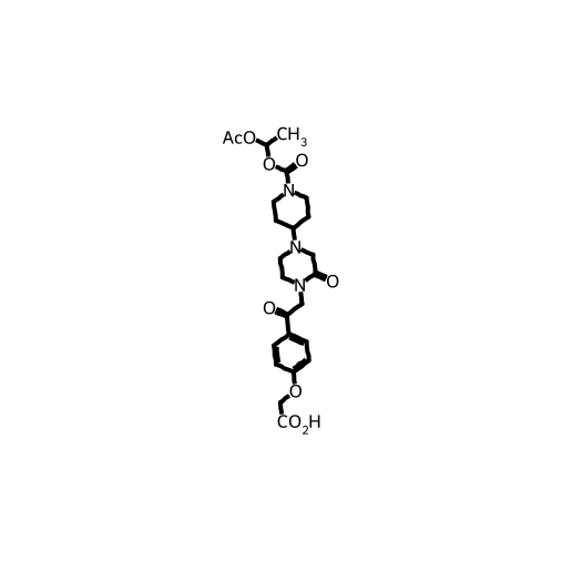 CC(=O)OC(C)OC(=O)N1CCC(N2CCN(CC(=O)c3ccc(OCC(=O)O)cc3)C(=O)C2)CC1